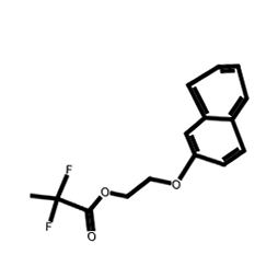 CC(F)(F)C(=O)OCCOc1ccc2ccccc2c1